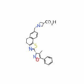 Cc1c(-c2nc3c(s2)-c2ccc(CN4CC(C(=O)O)C4)cc2CC3)noc1-c1ccccc1